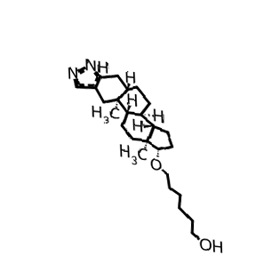 C[C@]12Cc3cn[nH]c3C[C@@H]1CC[C@@H]1[C@@H]2CC[C@]2(C)[C@@H](OCCCCCCO)CC[C@@H]12